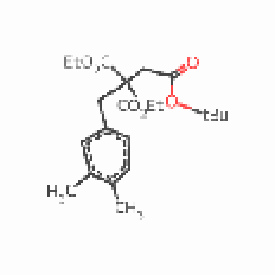 CCOC(=O)C(CC(=O)OC(C)(C)C)(Cc1ccc(C)c(C)c1)C(=O)OCC